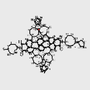 CC1CCCC(N2C(=O)c3cc(C4CCCC(C5CCCC5)CCC4)c4c5ccc6c7c(C8CCCC(C9CCCC9)CCC8)cc8c9c(cc(C%10CCCC(C%11CCCC%11)CCC%10)c(c%10ccc(c%11c(C%12CCCC(C%13CCCC%13)CCC%12)cc(c3c4%11)C2=O)c5c6%10)c97)C(=O)N(C2CCCCC(C3CCCC3)CCC2)C8=O)CCC1